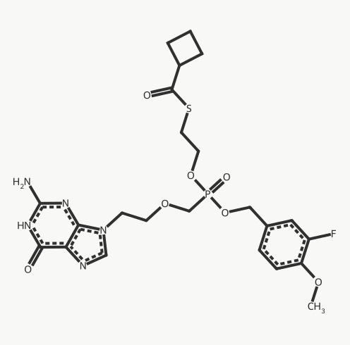 COc1ccc(COP(=O)(COCCn2cnc3c(=O)[nH]c(N)nc32)OCCSC(=O)C2CCC2)cc1F